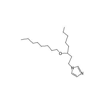 CCCCCCCCOC(CCCCC)CCn1ccnc1